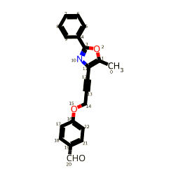 Cc1oc(-c2ccccc2)nc1C#CCOc1ccc(C=O)cc1